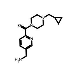 NCc1ccc(C(=O)N2CCN(CC3CC3)CC2)nc1